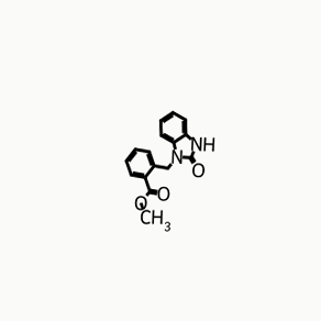 COC(=O)c1ccccc1Cn1c(=O)[nH]c2ccccc21